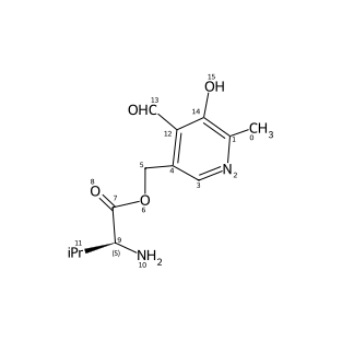 Cc1ncc(COC(=O)[C@@H](N)C(C)C)c(C=O)c1O